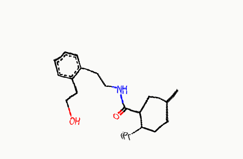 CC1CCC(C(C)C)C(C(=O)NCCc2ccccc2CCO)C1